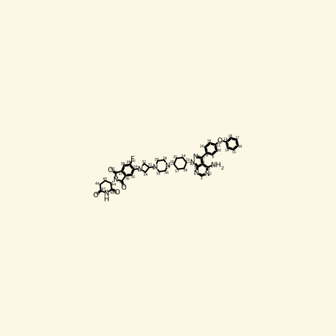 Nc1ncnc2c1c(-c1ccc(Oc3ccccc3)cc1)nn2[C@H]1CC[C@@H](N2CCN(C3CN(c4cc5c(cc4F)C(=O)N([C@H]4CCC(=O)NC4=O)C5=O)C3)CC2)CC1